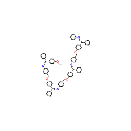 CCOc1ccc(C(=C=Nc2ccc(COc3ccc(C(=C=Nc4ccc(COc5ccc(C(=C=Nc6ccc(COc7ccc(C(=C=Nc8ccc(C)cc8)c8ccccc8)cc7)cc6)c6ccccc6)cc5)cc4)c4ccccc4)cc3)cc2)c2ccccc2)cc1